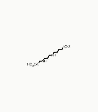 CCCCCCCCCCCCNCCCNCOC(=O)O